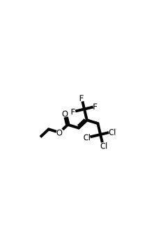 CCOC(=O)C=C(CC(Cl)(Cl)Cl)C(F)(F)F